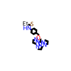 CCC(=S)Nc1ccc(COCC(n2cccn2)(n2cccn2)n2cccn2)cc1